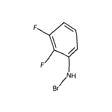 Fc1cccc(NBr)c1F